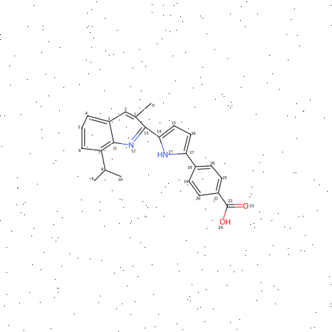 Cc1cc2cccc(C(C)C)c2nc1-c1ccc(-c2ccc(C(=O)O)cc2)[nH]1